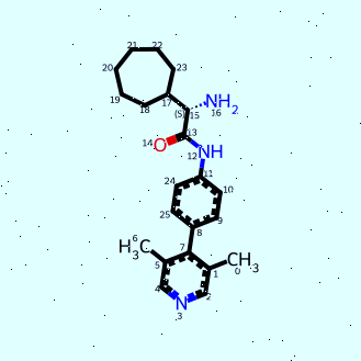 Cc1cncc(C)c1-c1ccc(NC(=O)[C@@H](N)C2CCCCCC2)cc1